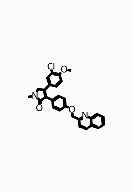 COc1ccc(C2=C(c3ccc(OCc4ccc5ccccc5n4)cc3)C(=O)N(C)C2)cc1Cl